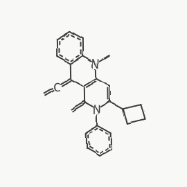 C=C=C1C2=C(C=C(C3CCC3)N(c3ccccc3)C2=C)N(C)c2ccccc21